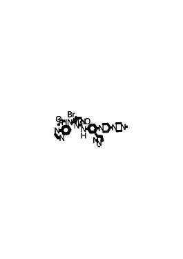 COc1cc(N2CCC(N3CCN(C)CC3)CC2)c(-c2ccn(C)n2)cc1Nc1ncc(Br)c(Nc2ccc3nccnc3c2P(C)(C)=O)n1